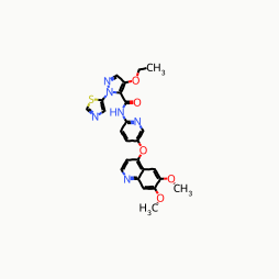 CCOc1cnn(-c2cncs2)c1C(=O)Nc1ccc(Oc2ccnc3cc(OC)c(OC)cc23)cn1